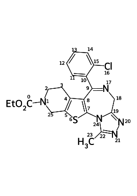 CCOC(=O)N1CCc2c(sc3c2C(c2ccccc2Cl)=NCc2nnc(C)n2-3)C1